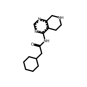 O=C(CC1CCCCC1)Nc1ncnc2c1CCNC2